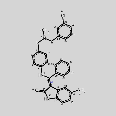 CN(Cc1ccc(N/C(=C2\C(=O)Nc3ccc(N)cc32)c2ccccc2)cc1)Cc1cccc(Cl)c1